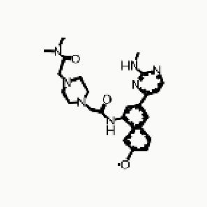 CNc1nccc(-c2cc(NC(=O)CN3CCN(CC(=O)N(C)C)CC3)c3cc(OC)ccc3c2)n1